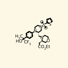 CCOC(=O)C[C@@H]1COCCN1C[C@H]1CN(S(=O)(=O)c2cccs2)CCN1c1ccc([C@@](C)(O)C(F)(F)F)cc1